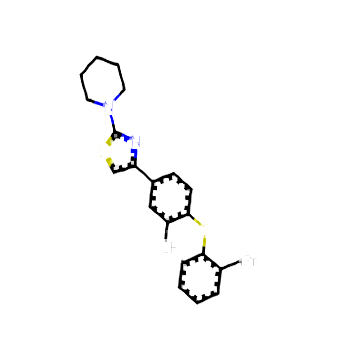 CC(C)c1ccccc1Sc1ccc(-c2csc(N3CCCCC3)n2)cc1C(F)(F)F